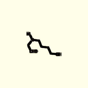 CCN(C[C]=O)CCCCO